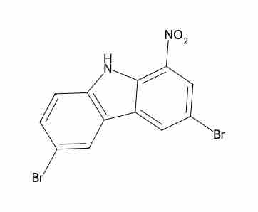 O=[N+]([O-])c1cc(Br)cc2c1[nH]c1ccc(Br)cc12